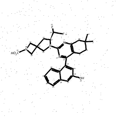 CC1(C)CCc2c(nc(N3CC4(C[C@H]3C(F)F)CN(C(=O)O)C4)nc2-c2cc(O)cc3ccccc23)C1